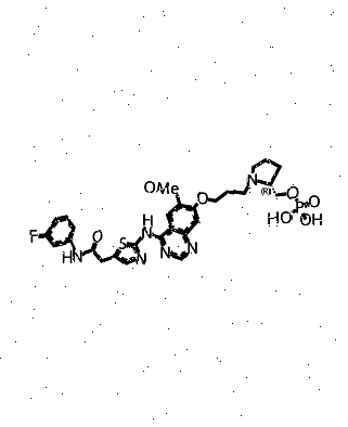 COc1cc2c(Nc3ncc(CC(=O)Nc4cccc(F)c4)s3)ncnc2cc1OCCCN1CCC[C@@H]1COP(=O)(O)O